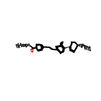 CCCCCCCC(=O)c1ccc(CCc2ccc([C@H]3CC[C@H](CCCCC)CC3)c(C)c2)cc1